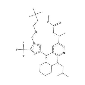 COC(=O)CC(C)c1cnc(N(CC(C)C)C2CCCCC2)c(Nc2nc(C(F)(F)F)n(COCC[Si](C)(C)C)n2)c1